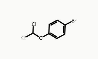 ClC(Cl)Oc1ccc(Br)cc1